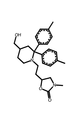 Cc1ccc(C2(c3ccc(C)cc3)CC(CO)CCN2CCC2CN(C)C(=O)O2)cc1